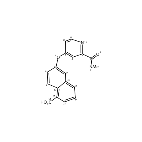 CNC(=O)c1cc(Oc2ccc3c(C(=O)O)cccc3c2)ccn1